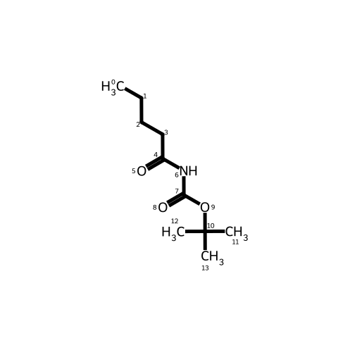 CCCCC(=O)NC(=O)OC(C)(C)C